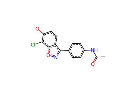 CC(=O)Nc1ccc(-c2noc3c(Cl)c([O])ccc23)cc1